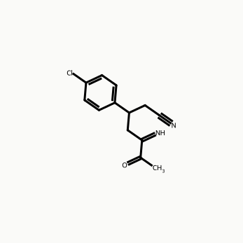 CC(=O)C(=N)CC(CC#N)c1ccc(Cl)cc1